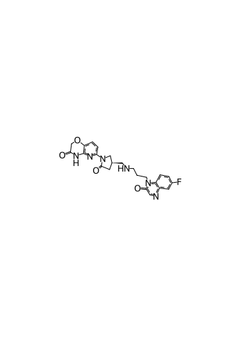 O=C1COc2ccc(N3C[C@@H](CNCCCn4c(=O)cnc5cc(F)ccc54)CC3=O)nc2N1